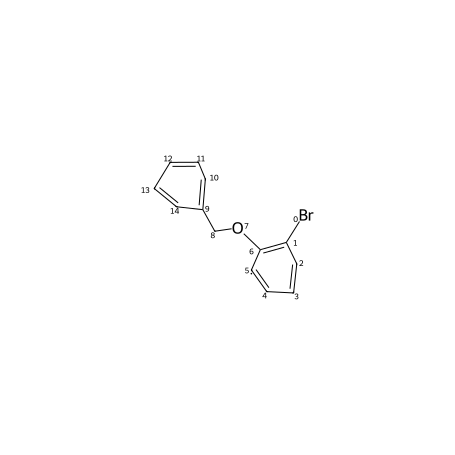 Brc1ccc[c]c1OCc1ccccc1